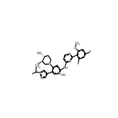 COc1cc(F)cc(F)c1-c1nccc(Nc2cc(N3CC[C@@H](O)[C@H](N)C3)c(-c3cnn(C(F)F)c3)cn2)n1.Cl